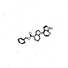 O=C(OCc1ccccc1)N1CCCC2C1CCN2c1ccnc2[nH]ccc12